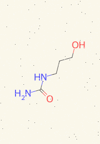 NC(=O)NCCCO